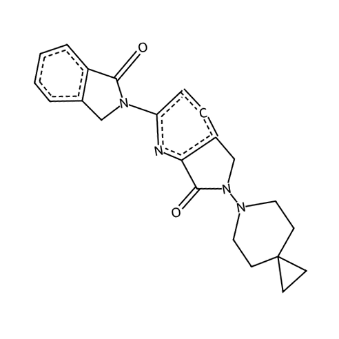 O=C1c2ccccc2CN1c1ccc2c(n1)C(=O)N(N1CCC3(CC1)CC3)C2